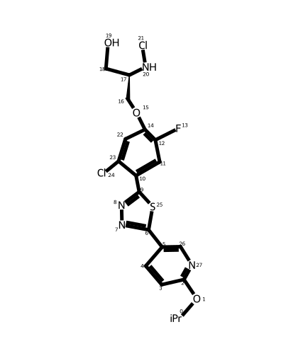 CC(C)Oc1ccc(-c2nnc(-c3cc(F)c(OC[C@@H](CO)NCl)cc3Cl)s2)cn1